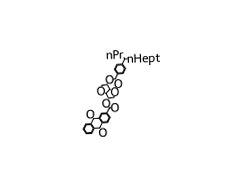 CCCCCCCC(CCC)c1ccc(C(=O)OC2COC3C(OC(=O)c4ccc5c(c4)C(=O)c4ccccc4C5=O)COC23)cc1